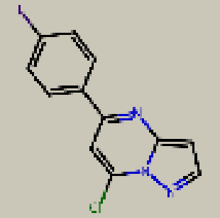 Clc1cc(-c2ccc(I)cc2)nc2ccnn12